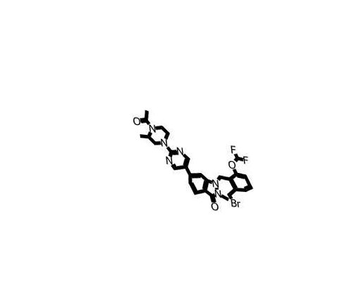 CC(=O)N1CCN(c2ncc(-c3ccc4c(=O)n(C)n(Cc5c(CBr)cccc5OC(F)F)c4c3)cn2)CC1C